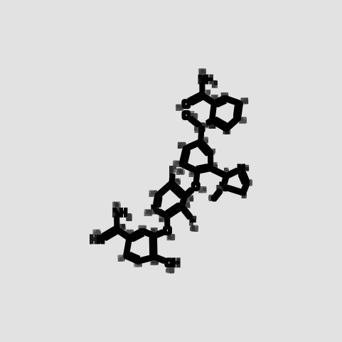 CN1CC=NC1c1cc([S+]([O-])c2ccccc2C(N)=O)ccc1Oc1c(F)cnc(Oc2cc(C(=N)N)ccc2O)c1F